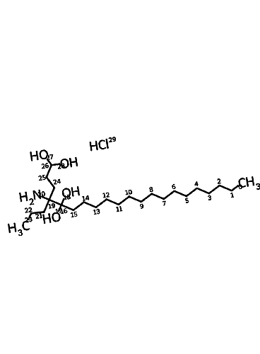 CCCCCCCCCCCCCCCCC(O)(O)C(N)(CCC)CCC(O)O.Cl